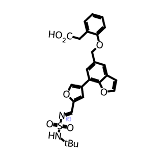 CC(C)(C)NS(=O)(=O)/N=C/c1cc(-c2cc(COc3ccccc3CC(=O)O)cc3ccoc23)co1